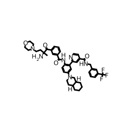 CC(N)(CCN1CCOCC1)C(=O)c1cccc(C(=O)Nc2ccc(N3CC[C@H]4CCCC[C@@H]4C3)cc2-c2cc(C(=O)NCc3cccc(C(F)(F)F)c3)ccn2)c1